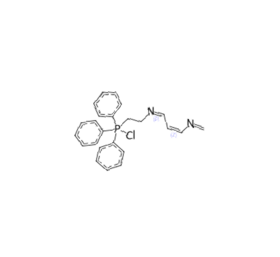 C=N/C=C\C=N/CCP(Cl)(c1ccccc1)(c1ccccc1)c1ccccc1